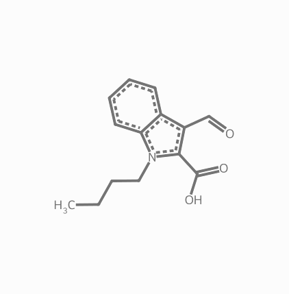 CCCCn1c(C(=O)O)c(C=O)c2ccccc21